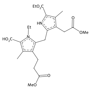 CCOC(=O)c1[nH]c(Cc2c(CCC(=O)OC)c(C)c(C(=O)O)n2CC)c(CC(=O)OC)c1C